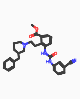 COC(=O)c1cccc(NC(=O)Nc2cccc(C#N)c2)c1CCN1CCCC(Cc2ccccc2)C1